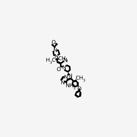 Cc1cc(Oc2ccccc2)ccc1-c1nc([C@@H]2CCCN(C(=O)C(C#N)=CC(C)(C)N3CCN(C4COC4)CC3)C2)n2ccnc(N)c12